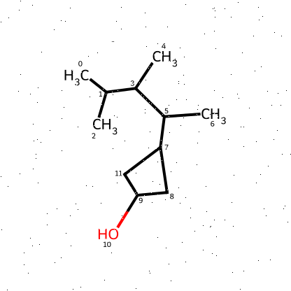 CC(C)C(C)C(C)C1CC(O)C1